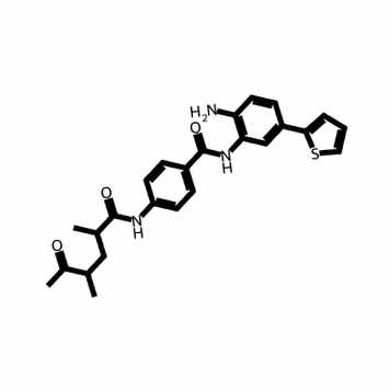 CC(=O)C(C)CC(C)C(=O)Nc1ccc(C(=O)Nc2cc(-c3cccs3)ccc2N)cc1